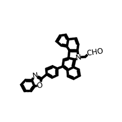 O=CCn1c2ccc3ccccc3c2c2cc(-c3ccc(-c4nc5ccccc5o4)cc3)c3ccccc3c21